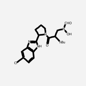 CCCCC(CN(O)C=O)C(=O)N1CCCC1c1nc2cc(Cl)ccc2[nH]1